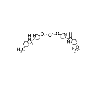 Cc1ccc2[nH]c(-c3ccc(OCCOCCOc4ccc(-c5nc6cc(OC(F)(F)F)ccc6[nH]5)nc4)cn3)nc2c1